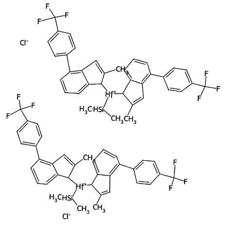 CC1=Cc2c(-c3ccc(C(F)(F)F)cc3)cccc2[CH]1[Hf+]([CH]1C(C)=Cc2c(-c3ccc(C(F)(F)F)cc3)cccc21)[SiH](C)C.CC1=Cc2c(-c3ccc(C(F)(F)F)cc3)cccc2[CH]1[Hf+]([CH]1C(C)=Cc2c(-c3ccc(C(F)(F)F)cc3)cccc21)[SiH](C)C.[Cl-].[Cl-]